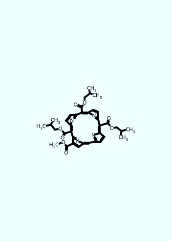 COC(=O)C1=CC2=CC3=NC(=C(C(=O)OCC(C)C)C4=NC(=C(C(=O)OCC(C)C)C5=NC(=C(C(=O)OCC(C)C)C1=N2)C=C5)C=C4)C=C3